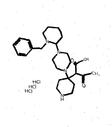 CC(=O)C(C(=O)O)C1(N2CCN(C3CCCCN3Cc3ccccc3)CC2)CCNCC1.Cl.Cl.Cl